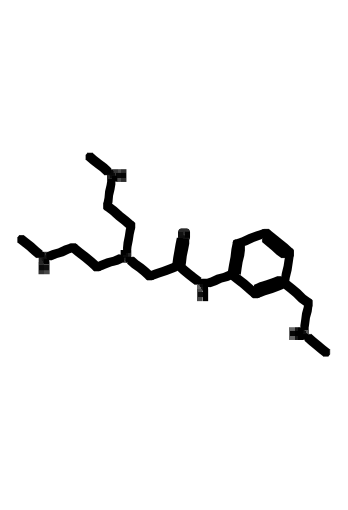 CNCCN(CCNC)CC(=O)Nc1cccc(CNC)c1